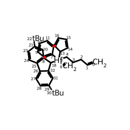 C=CCC[CH2][Hf](=[CH2])([c]1ccccc1)([CH]1C=CC=C1)[CH]1c2cc(C(C)(C)C)ccc2-c2ccc(C(C)(C)C)cc21